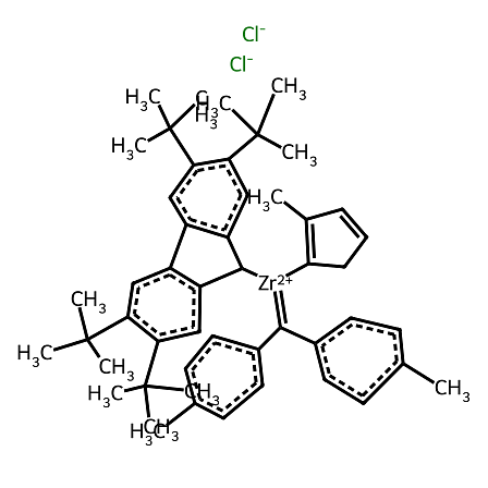 CC1=[C]([Zr+2](=[C](c2ccc(C)cc2)c2ccc(C)cc2)[CH]2c3cc(C(C)(C)C)c(C(C)(C)C)cc3-c3cc(C(C)(C)C)c(C(C)(C)C)cc32)CC=C1.[Cl-].[Cl-]